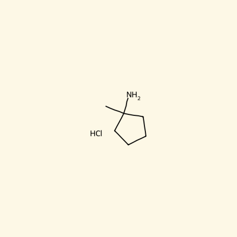 CC1(N)CCCC1.Cl